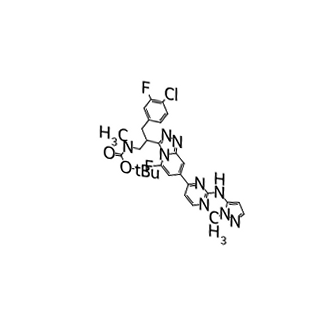 CN(CC(Cc1ccc(Cl)c(F)c1)c1nnc2cc(-c3ccnc(Nc4ccnn4C)n3)cc(F)n12)C(=O)OC(C)(C)C